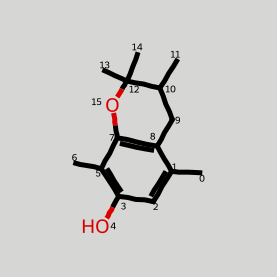 Cc1cc(O)c(C)c2c1CC(C)C(C)(C)O2